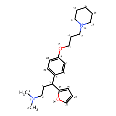 CN(C)CCC(c1ccc(OCCCN2CCCCC2)cc1)c1ccco1